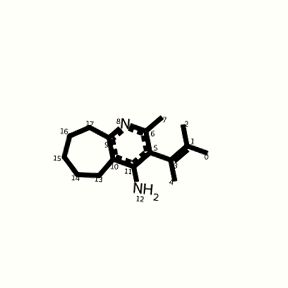 CC(C)=C(C)c1c(C)nc2c(c1N)CCCCC2